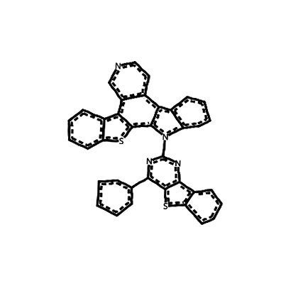 c1ccc(-c2nc(-n3c4ccccc4c4c5ccncc5c5c6ccccc6sc5c43)nc3c2sc2ccccc23)cc1